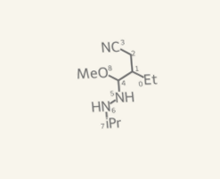 CCC(CC#N)C(NNC(C)C)OC